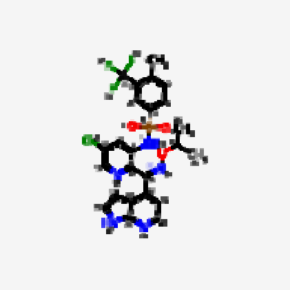 Cc1ccc(S(=O)(=O)Nc2cc(Cl)cnc2/C(=N\OC(C)C)c2ccnc3[nH]ccc23)cc1C(F)(F)F